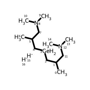 CC([CH2][GeH2][CH2]C(C)CN(C)C)CN(C)C.[H-].[H-]